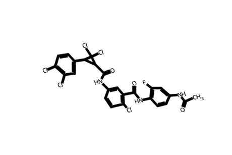 CC(=O)Nc1ccc(NC(=O)c2cc(NC(=O)C3C(c4ccc(Cl)c(Cl)c4)C3(Cl)Cl)ccc2Cl)c(F)c1